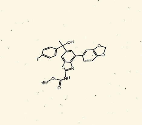 CC(C)(C)OC(=O)Nc1nc2c(-c3ccc4c(c3)OCO4)cc(C(C)(O)c3ccc(F)cc3)cc2s1